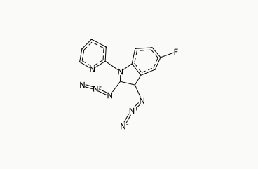 [N-]=[N+]=NC1c2cc(F)ccc2N(c2ccccn2)C1N=[N+]=[N-]